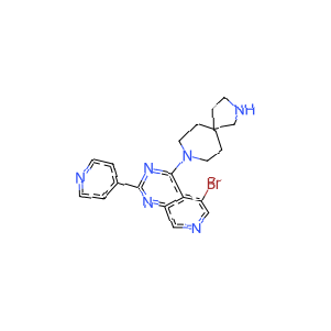 Brc1cncc2nc(-c3ccncc3)nc(N3CCC4(CCNC4)CC3)c12